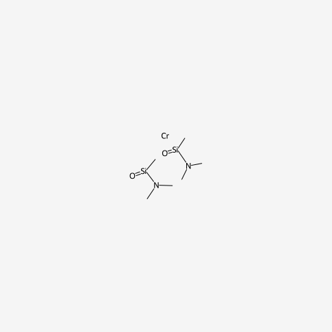 CN(C)[Si](C)=O.CN(C)[Si](C)=O.[Cr]